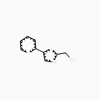 CNCc1nc(-c2ccccn2)c[nH]1